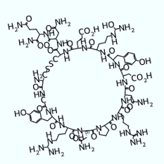 N=C(N)NCCCC1NC(=O)C2CCCN2C(=O)[C@H](CC(N)=O)NC(=O)C(CCCNC(N)N)NC(=O)C(Cc2ccc(O)cc2)NC(=O)CNC(=O)C(N)CSSCC(C(=O)NC(CC(N)=O)C(=O)NC(CCC(N)=O)C(N)=O)NC(=O)C(CCC(=O)O)NC(=O)C(CCCNC(N)O)NC(=O)C(Cc2ccc(O)cc2)NC(=O)C(CC(=O)O)NC(=O)C(CC(N)=O)NC1=O